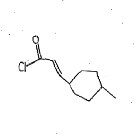 CC1CCC(/C=C/C(=O)Cl)CC1